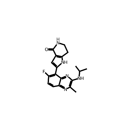 Cc1nc2ccc(F)c(-c3cc4c([nH]3)CCNC4=O)c2nc1NC(C)C